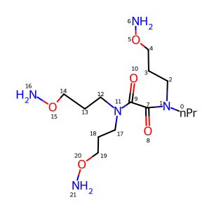 CCCN(CCCON)C(=O)C(=O)N(CCCON)CCCON